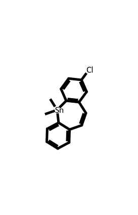 [CH3][Sn]1([CH3])[c]2ccccc2C=Cc2cc(Cl)cc[c]21